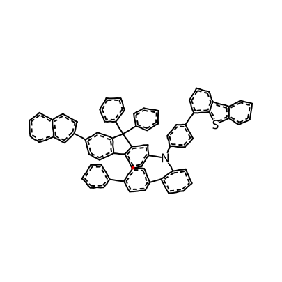 c1ccc(-c2ccc(-c3ccccc3N(c3ccc(-c4cccc5c4sc4ccccc45)cc3)c3ccc4c(c3)C(c3ccccc3)(c3ccccc3)c3cc(-c5ccc6ccccc6c5)ccc3-4)cc2)cc1